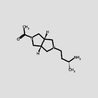 CC(=O)N1C[C@H]2CN(CC[C@@H](C)N)C[C@H]2C1